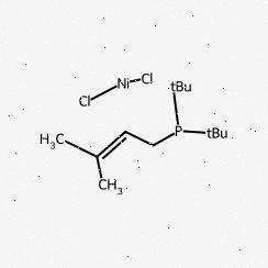 CC(C)=CCP(C(C)(C)C)C(C)(C)C.[Cl][Ni][Cl]